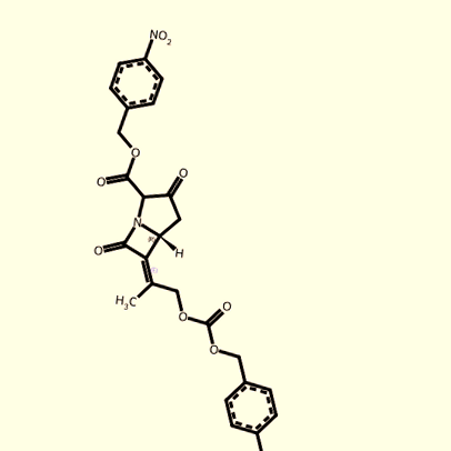 C/C(COC(=O)OCc1ccc([N+](=O)[O-])cc1)=C1\C(=O)N2C(C(=O)OCc3ccc([N+](=O)[O-])cc3)C(=O)C[C@H]12